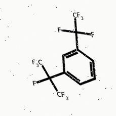 FC(F)(F)C(F)(F)c1[c]ccc(C(F)(C(F)(F)F)C(F)(F)F)c1